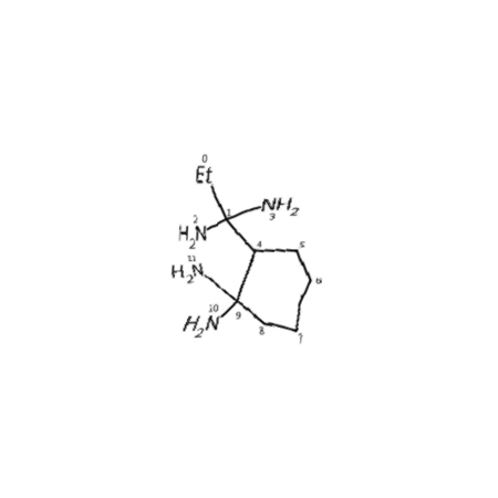 CCC(N)(N)C1CCCCC1(N)N